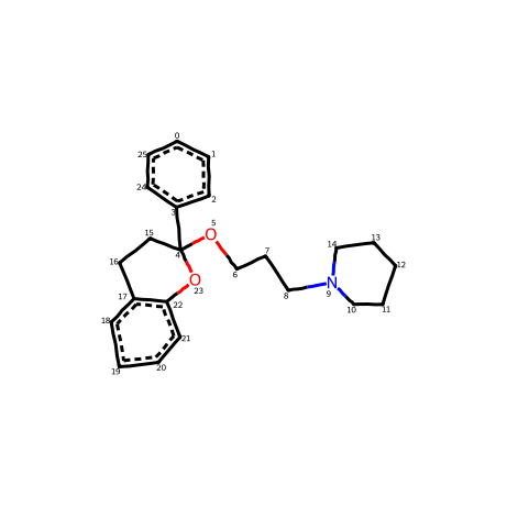 c1ccc(C2(OCCCN3CCCCC3)CCc3ccccc3O2)cc1